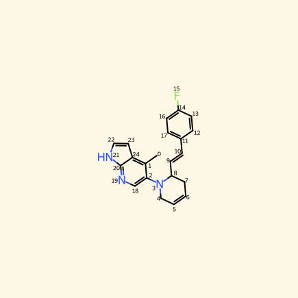 Cc1c(N2CC=CCC2C=Cc2ccc(F)cc2)cnc2[nH]ccc12